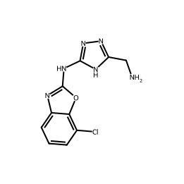 NCc1nnc(Nc2nc3cccc(Cl)c3o2)[nH]1